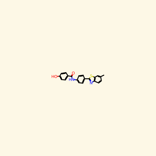 Cc1ccc2nc(-c3ccc(NC(=O)c4ccc(O)cc4)cc3)sc2c1